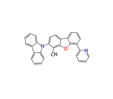 N#Cc1c(-n2c3ccccc3c3ccccc32)ccc2c1oc1c(-c3ccccn3)cccc12